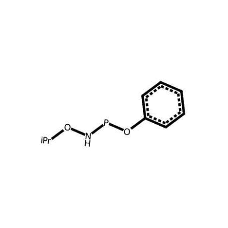 CC(C)ON[P]Oc1ccccc1